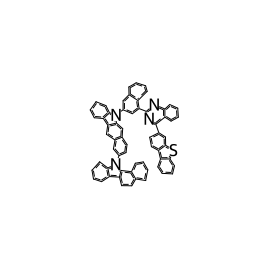 c1ccc2c(-c3nc(-c4ccc5c(c4)sc4ccccc45)c4ccccc4n3)cc(-n3c4ccccc4c4cc5cc(-n6c7ccccc7c7ccc8ccccc8c76)ccc5cc43)cc2c1